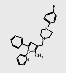 Cc1c(CN2CCN(c3ccc(F)cc3)CC2)cc(-c2ccccc2)n1-c1ccccn1